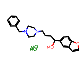 Cl.Cl.OC(CCCN1CCN(Cc2ccccc2)CC1)c1ccc2occc2c1